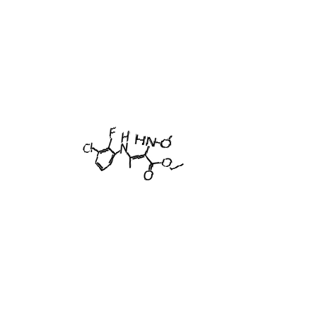 CCOC(=O)/C(NOC)=C(\C)Nc1cccc(Cl)c1F